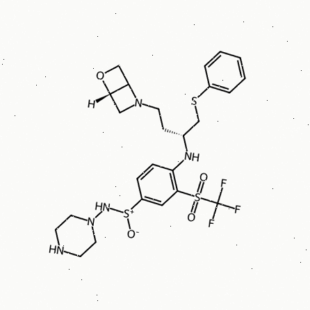 O=S(=O)(c1cc([S+]([O-])NN2CCNCC2)ccc1N[C@H](CCN1C[C@@H]2OCC21)CSc1ccccc1)C(F)(F)F